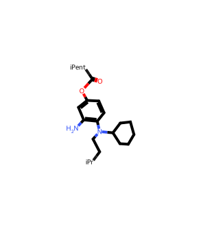 CCCC(C)C(=O)Oc1ccc(N(CCC(C)C)C2CCCCC2)c(N)c1